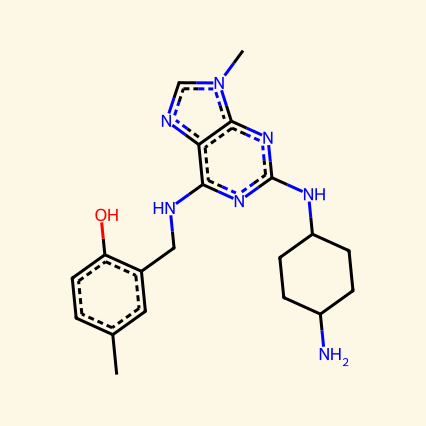 Cc1ccc(O)c(CNc2nc(NC3CCC(N)CC3)nc3c2ncn3C)c1